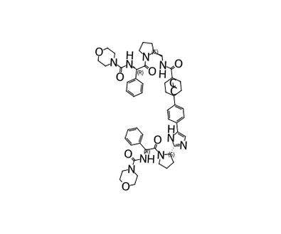 O=C(N[C@@H](C(=O)N1CCC[C@H]1CNC(=O)C12CCC(c3ccc(-c4cnc([C@@H]5CCCN5C(=O)[C@H](NC(=O)N5CCOCC5)c5ccccc5)[nH]4)cc3)(CC1)CC2)c1ccccc1)N1CCOCC1